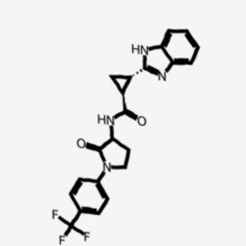 O=C(NC1CCN(c2ccc(C(F)(F)F)cc2)C1=O)[C@H]1C[C@@H]1c1nc2ccccc2[nH]1